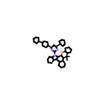 CC1(C)c2ccccc2Oc2c1c1ccccc1c1c3ccccc3n(-c3nc(-c4ccccc4)cc(-c4ccc(-c5ccccc5)cc4)n3)c21